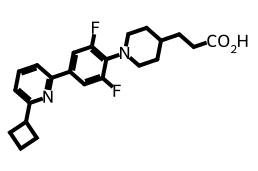 O=C(O)CCC1CCN(c2c(F)cc(-c3cccc(C4CCC4)n3)cc2F)CC1